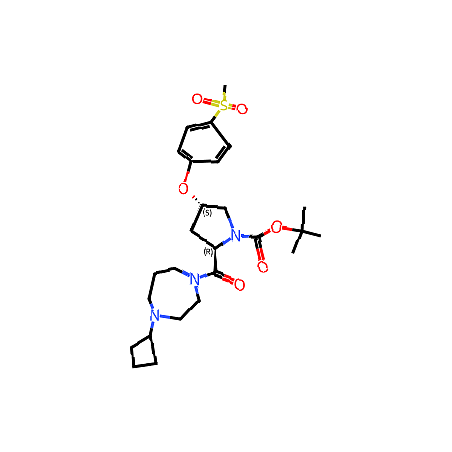 CC(C)(C)OC(=O)N1C[C@@H](Oc2ccc(S(C)(=O)=O)cc2)C[C@@H]1C(=O)N1CCCN(C2CCC2)CC1